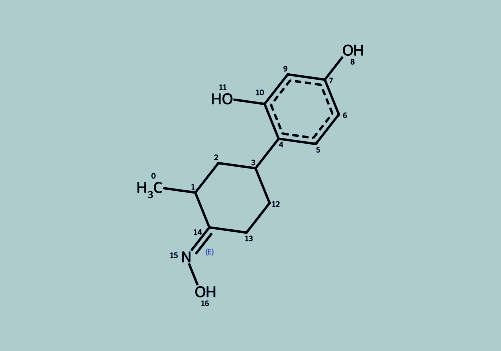 CC1CC(c2ccc(O)cc2O)CC/C1=N\O